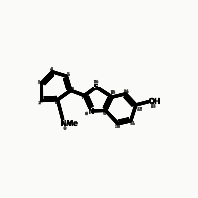 CNc1ccccc1-c1nc2ccc(O)cc2s1